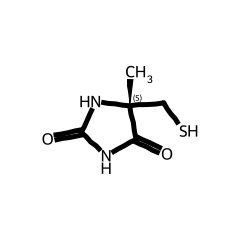 C[C@]1(CS)NC(=O)NC1=O